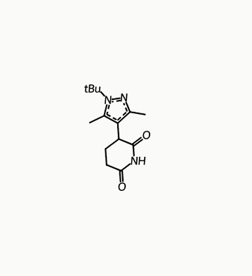 Cc1nn(C(C)(C)C)c(C)c1C1CCC(=O)NC1=O